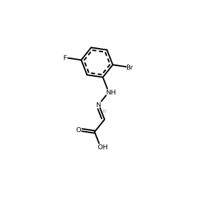 O=C(O)/C=N/Nc1cc(F)ccc1Br